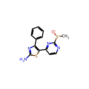 C[S+]([O-])c1nccc(-c2sc(N)nc2-c2ccccc2)n1